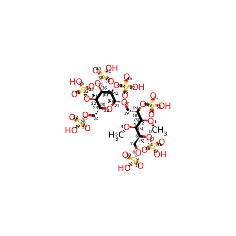 CO[C@@H]([C@H](OC)[C@H](COS(=O)(=O)O)OS(=O)(=O)O)[C@H](CO[C@@H]1O[C@H](COS(=O)(=O)O)[C@@H](OS(=O)(=O)O)[C@@H](OS(=O)(=O)O)[C@@H]1OS(=O)(=O)O)OS(=O)(=O)O